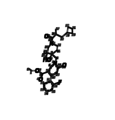 CCOC(=O)c1cn(CC2(O)CCN(C(=O)C(C)CC3CCC3)CC2(C)C)c(=O)cc1-c1ccccc1F